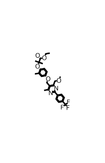 CCOC(=O)C(C)(C)Oc1ccc(OCc2c(C)nc(-c3ccc(C(F)(F)F)cc3)nc2COC)cc1C